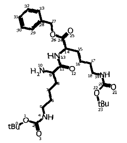 CC(C)(C)OC(=O)NCCCCC(N)C(=O)NC(CCCCNC(=O)OC(C)(C)C)C(=O)OCc1ccccc1